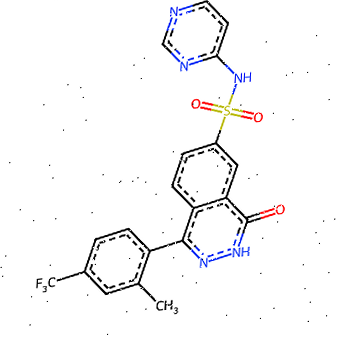 Cc1cc(C(F)(F)F)ccc1-c1n[nH]c(=O)c2cc(S(=O)(=O)Nc3ccncn3)ccc12